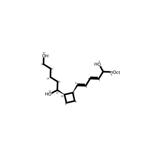 CCCCCCCCC(O)/C=C/C=C/[C@H]1CC[C@H]1C(O)CCCCO